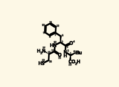 CC[C@H](C)[C@H](NC(=O)[C@H](Cc1ccccc1)NC(=O)[C@@H](N)CS)C(=O)O